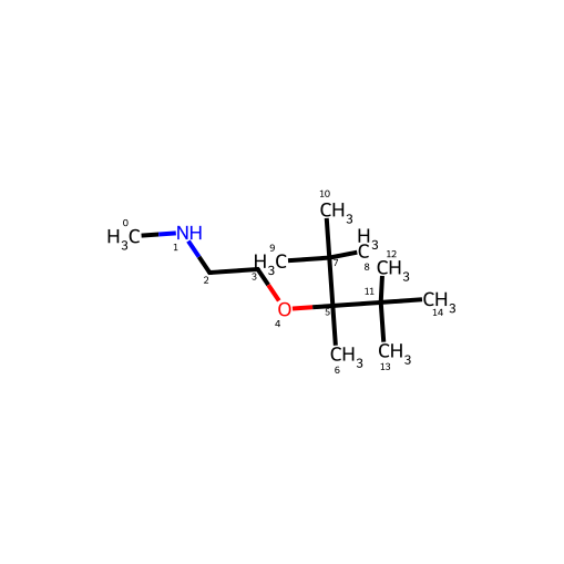 CNCCOC(C)(C(C)(C)C)C(C)(C)C